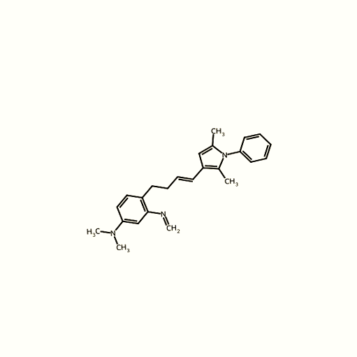 C=Nc1cc(N(C)C)ccc1CC/C=C/c1cc(C)n(-c2ccccc2)c1C